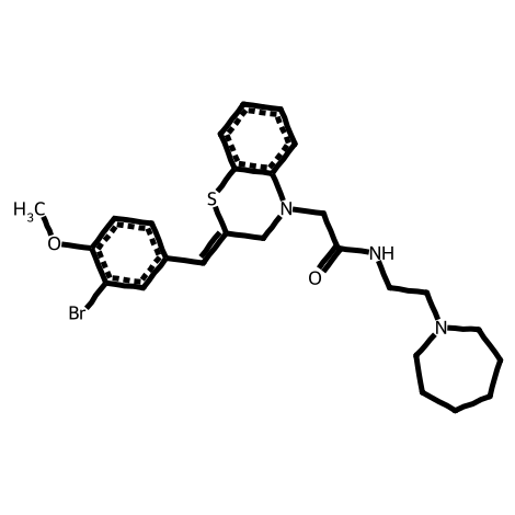 COc1ccc(C=C2CN(CC(=O)NCCN3CCCCCC3)c3ccccc3S2)cc1Br